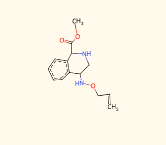 C=CCONC1CNC(C(=O)OC)c2ccccc21